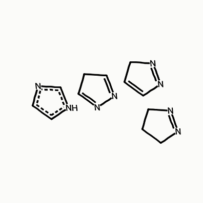 C1=CN=NC1.C1=NN=CC1.C1CN=NC1.c1c[nH]cn1